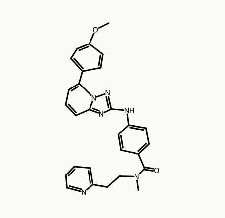 COc1ccc(-c2cccc3nc(Nc4ccc(C(=O)N(C)CCc5ccccn5)cc4)nn23)cc1